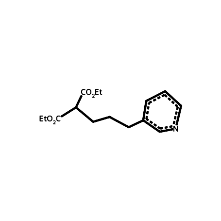 CCOC(=O)C(CCCc1cccnc1)C(=O)OCC